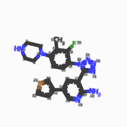 Cc1c(N2CCNCC2)ccc(-n2nnnc2-c2cc(-c3ccsc3)cnc2N)c1F